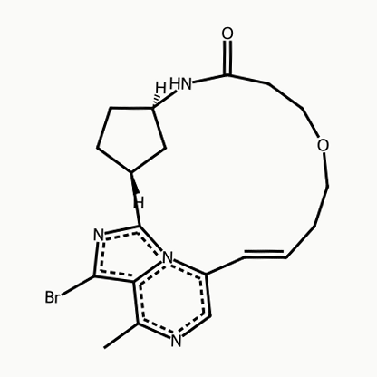 Cc1ncc2n3c(nc(Br)c13)[C@@H]1CC[C@H](C1)NC(=O)CCOCC/C=C/2